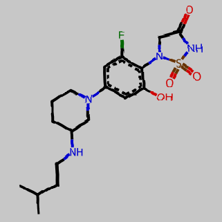 CC(C)CCNC1CCCN(c2cc(O)c(N3CC(=O)NS3(=O)=O)c(F)c2)C1